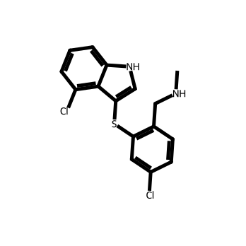 CNCc1ccc(Cl)cc1Sc1c[nH]c2cccc(Cl)c12